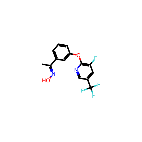 CC(=NO)c1cccc(Oc2ncc(C(F)(F)F)cc2F)c1